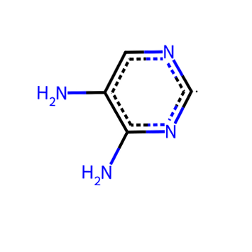 Nc1cn[c]nc1N